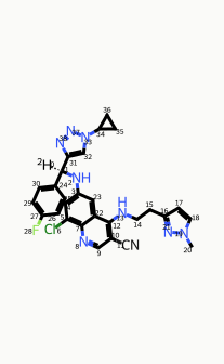 [2H][C@](Nc1cc(Cl)c2ncc(C#N)c(NCCc3ccn(C)n3)c2c1)(c1ccc(F)cc1)c1cn(C2CC2)nn1